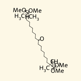 CO[SiH](OC)C(C)(C)CCCCCCCC(=O)CCCCCCCC(C)(C)[SiH](OC)OC